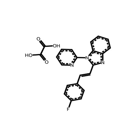 Fc1ccc(/C=C/c2nc3ccccc3n2-c2ccccn2)cc1.O=C(O)C(=O)O